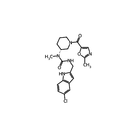 Cc1ncc(C(=O)N2CCC[C@@H](N(C)C(=O)NCc3cc4cc(Cl)ccc4[nH]3)C2)o1